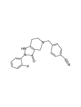 N#Cc1ccc(CN2CCc3[nH]n(-c4ccccc4F)c(=O)c3C2)cc1